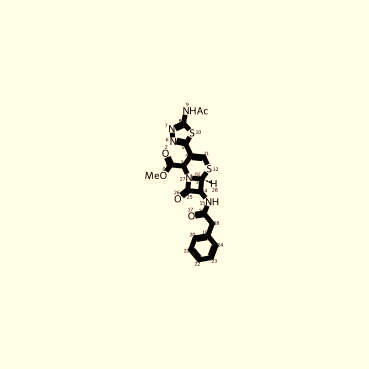 COC(=O)C1C(c2nnc(NC(C)=O)s2)=CS[C@H]2C(NC(=O)Cc3ccccc3)C(=O)N12